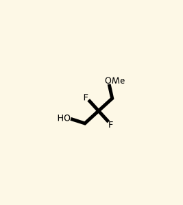 COCC(F)(F)CO